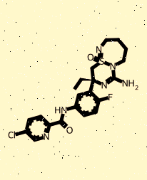 CC[C@@]1(c2cc(NC(=O)c3ccc(Cl)cn3)ccc2F)CS2(=O)=NCCCCN2C(N)=N1